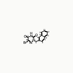 O=c1[nH]c(=O)n(Cc2ccc3ccccc3c2)nc1Br